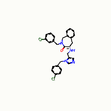 O=C1[C@@H](NCc2cncn2Cc2ccc(Cl)cc2)Cc2ccccc2CN1Cc1cccc(Cl)c1